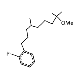 COC(C)(C)CCCC(C)CCCc1ccccc1C(C)C